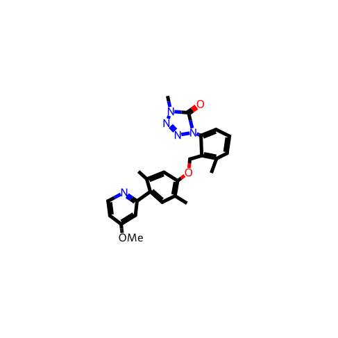 COc1ccnc(-c2cc(C)c(OCc3c(C)cccc3-n3nnn(C)c3=O)cc2C)c1